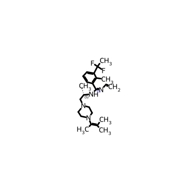 C=C/N=C(/N[C@@H](C)CN1CCN(C(C)=C(C)C)CC1)c1cccc(C(C)(F)F)c1C